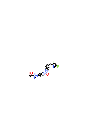 O=C(N1CC2(CCC(Cc3ncc(F)cc3F)C2)C1)N1CC2(CC(n3cnc(C4(O)CC4)n3)C2)C1